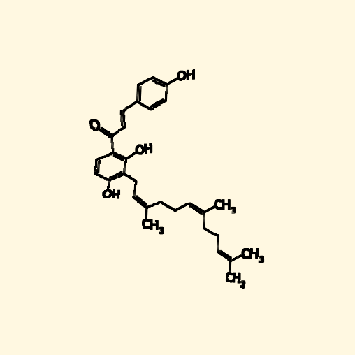 CC(C)=CCCC(C)=CCCC(C)=CCc1c(O)ccc(C(=O)C=Cc2ccc(O)cc2)c1O